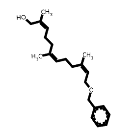 CC(=CCCC(C)=CCCC(C)=CCOCc1ccccc1)CO